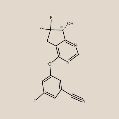 N#Cc1cc(F)cc(Oc2ncnc3c2CC(F)(F)[C@@H]3O)c1